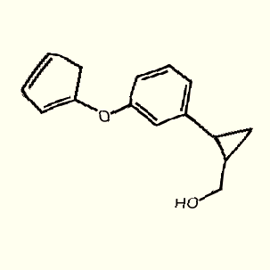 OCC1CC1c1cccc(OC2=CC=CC2)c1